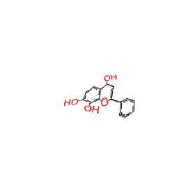 Oc1ccc2c(c1O)OC(c1ccccc1)=CC2O